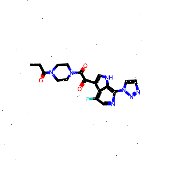 CCC(=O)N1CCN(C(=O)C(=O)c2c[nH]c3c(-n4ccnn4)ncc(F)c23)CC1